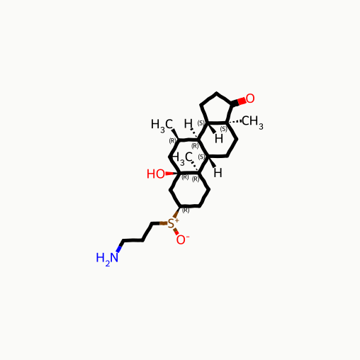 C[C@@H]1C[C@@]2(O)C[C@H]([S+]([O-])CCCN)CC[C@]2(C)[C@H]2CC[C@]3(C)C(=O)CC[C@H]3[C@H]12